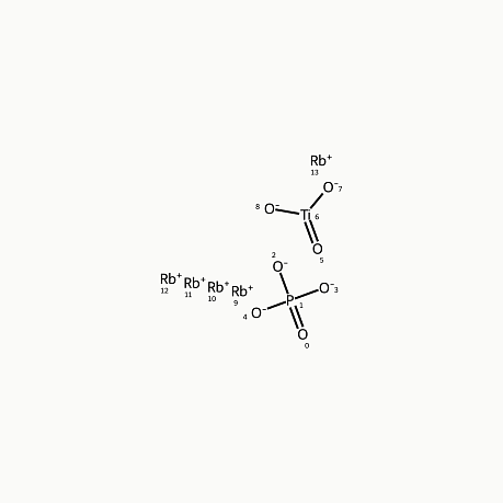 O=P([O-])([O-])[O-].[O]=[Ti]([O-])[O-].[Rb+].[Rb+].[Rb+].[Rb+].[Rb+]